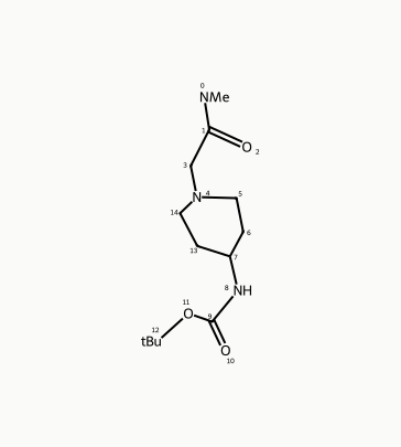 CNC(=O)CN1CCC(NC(=O)OC(C)(C)C)CC1